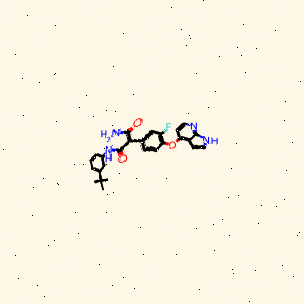 CC(C)(C)c1cccc(NC(=O)C(C(N)=O)c2ccc(Oc3ccnc4[nH]ccc34)c(F)c2)c1